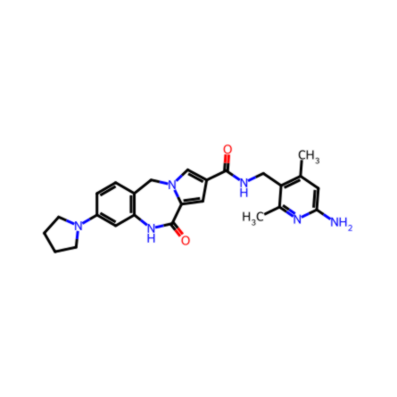 Cc1cc(N)nc(C)c1CNC(=O)c1cc2n(c1)Cc1ccc(N3CCCC3)cc1NC2=O